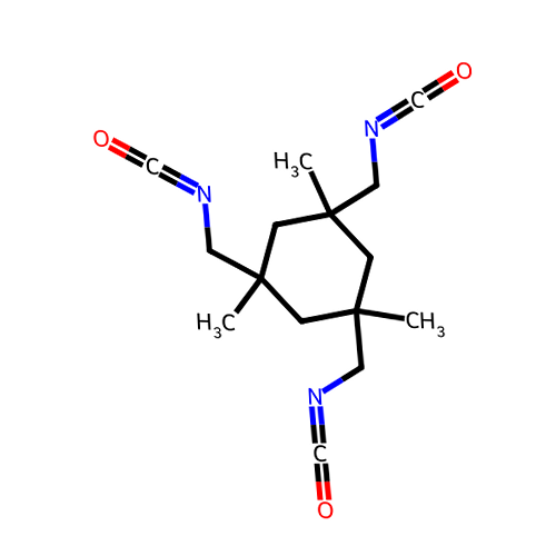 CC1(CN=C=O)CC(C)(CN=C=O)CC(C)(CN=C=O)C1